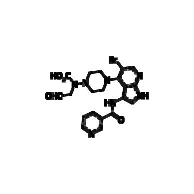 O=CCN(C(=O)O)N1CCN(c2c(Br)cnc3[nH]cc(NC(=O)c4cccnc4)c23)CC1